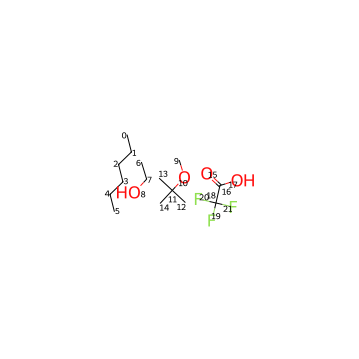 CCCCCC.CCO.COC(C)(C)C.O=C(O)C(F)(F)F